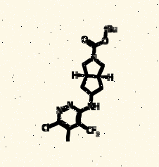 Cc1c(Cl)nnc(NC2C[C@@H]3CN(C(=O)OC(C)(C)C)C[C@@H]3C2)c1C(F)(F)F